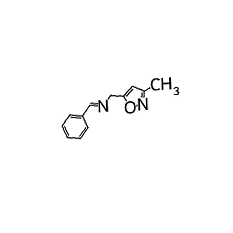 Cc1cc(C/N=C/c2ccccc2)on1